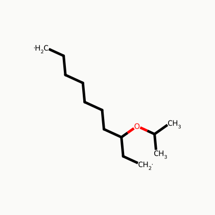 [CH2]CCCCCCC(C[CH2])OC(C)C